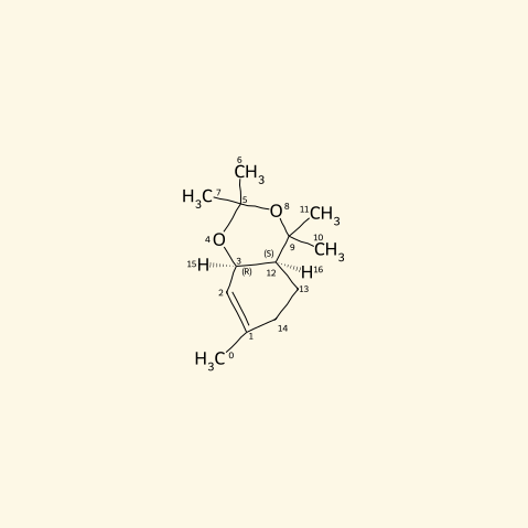 CC1=C[C@H]2OC(C)(C)OC(C)(C)[C@H]2CC1